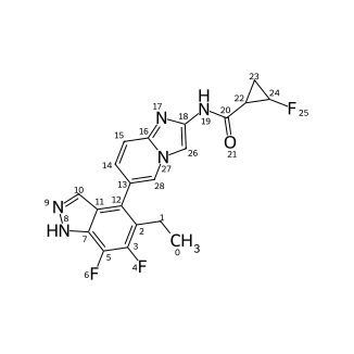 CCc1c(F)c(F)c2[nH]ncc2c1-c1ccc2nc(NC(=O)C3CC3F)cn2c1